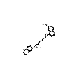 COc1ccc2nccc(OCC=CCC(O)CNc3ccc4c(c3)OCCO4)c2c1